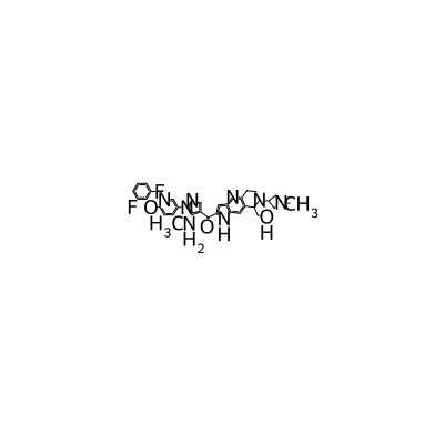 Cc1cc(Oc2c(F)cccc2F)ncc1-n1ncc(C(=O)c2cc3nc4c(cc3[nH]2)C(CO)N(C2CN(C)C2)CC4)c1N